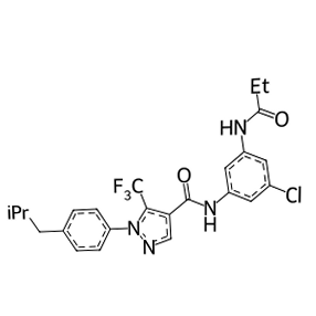 CCC(=O)Nc1cc(Cl)cc(NC(=O)c2cnn(-c3ccc(CC(C)C)cc3)c2C(F)(F)F)c1